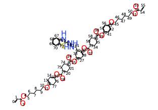 C=CC(=O)OCCCCCCOC1=CC=C(OC(=O)[C@H]2CC[C@H](C(=O)OC3=CC=C(OC(=O)[C@H]4CC[C@H](C(=O)Oc5ccc(OCCCCCCOC(=O)C=C)cc5)CC4)C(CNNC4Nc5ccccc5S4)C3)CC2)CC1